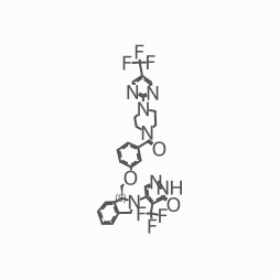 O=C(c1cccc(OC[C@@H]2c3ccccc3CN2c2cn[nH]c(=O)c2C(F)(F)F)c1)N1CCN(c2ncc(C(F)(F)F)cn2)CC1